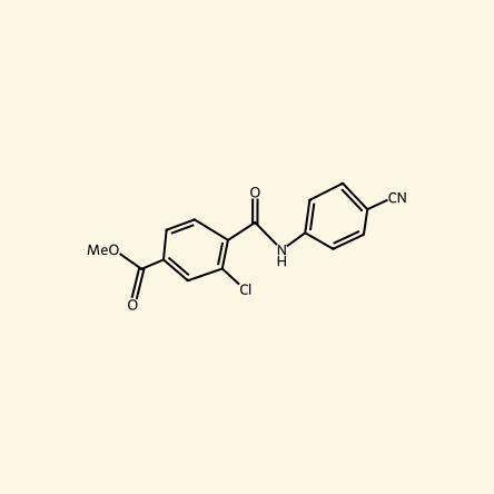 COC(=O)c1ccc(C(=O)Nc2ccc(C#N)cc2)c(Cl)c1